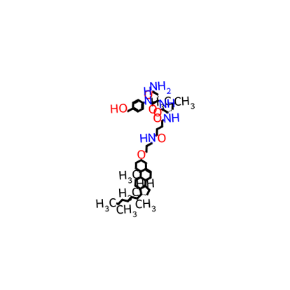 CC(C)CCC[C@@H](C)[C@H]1CC[C@H]2[C@@H]3CC=C4C[C@@H](OCCCNC(=O)CCC(=O)N[C@@H](CC(C)C)C(=O)N[C@@H](CC(N)=O)C(=O)Nc5ccc(CO)cc5)CC[C@]4(C)C3CC[C@]12C